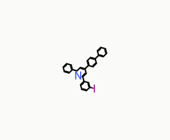 Ic1cccc(-c2cc(-c3ccc(-c4ccccc4)cc3)cc(-c3ccccc3)n2)c1